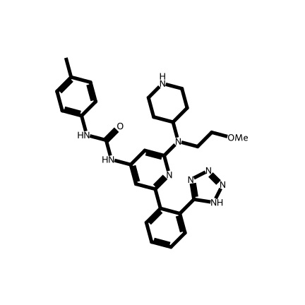 COCCN(c1cc(NC(=O)Nc2ccc(C)cc2)cc(-c2ccccc2-c2nnn[nH]2)n1)C1CCNCC1